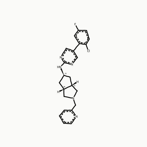 Fc1ccc(Cl)c(-c2cnc(N[C@H]3C[C@@H]4CN(Cc5ccccn5)C[C@@H]4C3)nc2)c1